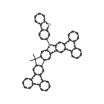 CC1(C)c2cc3c4ccccc4c4ccccc4c3cc2-c2cc3c4cc5c6ccccc6c6ccccc6c5cc4n(-c4ccc5c(c4)oc4ccccc45)c3cc21